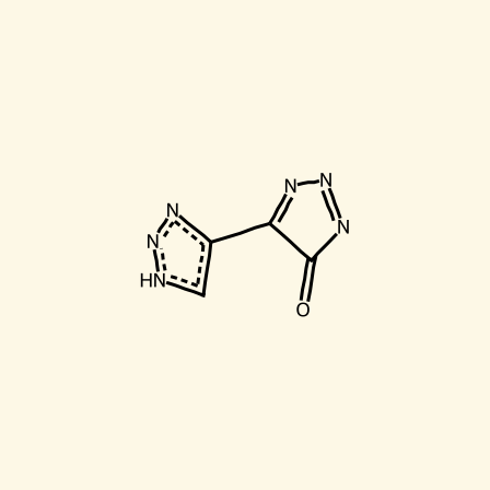 O=C1N=NN=C1c1c[nH]nn1